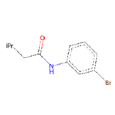 CC(C)CC(=O)Nc1cccc(Br)c1